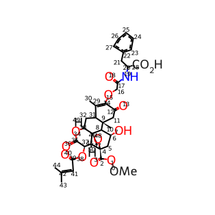 COOC(=O)[C@@]12C[C@H](O)C3[C@@]4(C)CC(=O)C(OCC(=O)NC(Cc5ccccc5)C(=O)O)=C(C)C4C[C@H]4OC(=O)[C@H](OC(=O)C=C(C)C)[C@@H]1[C@@]34CO2